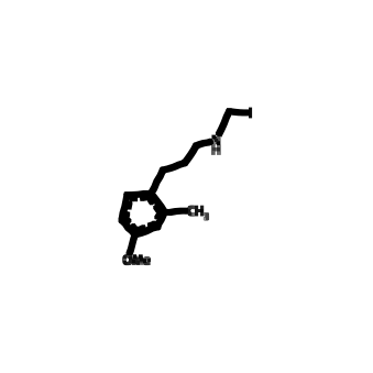 COc1ccc(CCCNCI)c(C)c1